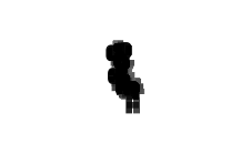 CCN(C(=O)Cc1ccc(S(C)(=O)=O)cc1)C1(C)CCNCC1